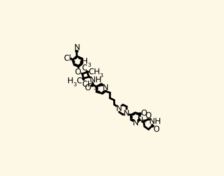 CC1(C)C(NC(=O)c2ccc(CCCCN3CCN(c4cnn([C@@H]5CCC(=O)NC5=O)c(=O)c4)CC3)nc2)C(C)(C)C1Oc1ccc(C#N)c(Cl)c1